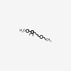 CCCC1CCC(/C=C/CCc2ccc(C3=CCC(C)CC3)c(F)c2F)CC1